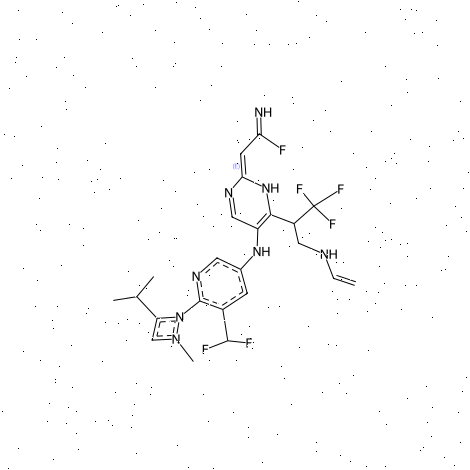 C=CNCC(C1=C(Nc2cnc(-n3c(C(C)C)cn3C)c(C(F)F)c2)C=N/C(=C/C(=N)F)N1)C(F)(F)F